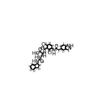 O=C(Cc1ccc2[nH]ncc2c1)Nc1ccc(Cl)c(C(=O)NC(CNC(=O)NC2CCc3ccccc32)C(=O)O)c1Cl